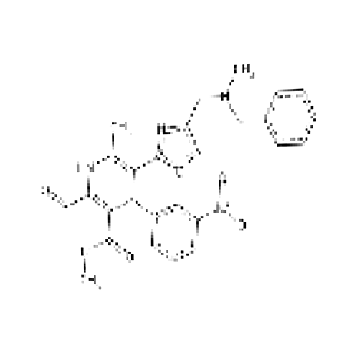 COC(=O)C1=C(C=O)NC(C)=C(c2nc(CN(C)Cc3ccccc3)no2)C1c1cccc([N+](=O)[O-])c1